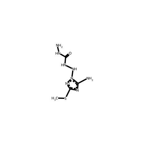 CSc1nc(N)n(NNC(=O)NN)n1